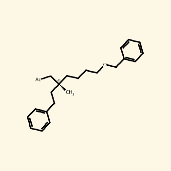 CC(=O)C[C@](C)(CCCCOCc1ccccc1)CCc1ccccc1